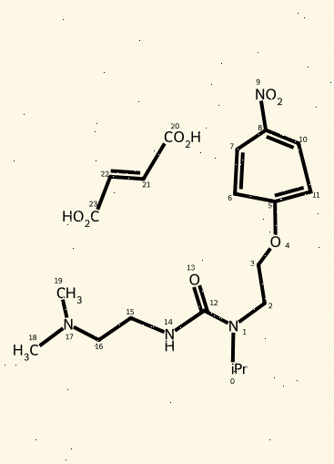 CC(C)N(CCOc1ccc([N+](=O)[O-])cc1)C(=O)NCCN(C)C.O=C(O)C=CC(=O)O